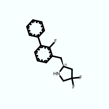 Fc1c(C[C@H]2CC(F)(F)CN2)cccc1-c1ccccc1